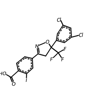 O=C(O)c1ccc(C2=NOC(c3cc(Cl)cc(Cl)c3)(C(F)(F)F)C2)cc1I